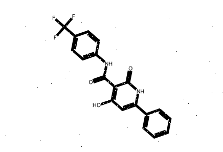 O=C(Nc1ccc(C(F)(F)F)cc1)c1c(O)cc(-c2ccccc2)[nH]c1=O